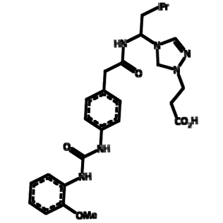 COc1ccccc1NC(=O)Nc1ccc(CC(=O)NC(CC(C)C)N2C=NN(CCC(=O)O)C2)cc1